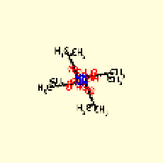 CCCC(CCC)CCCCCCC(=O)OCC(O)CN1CCCN(CC(O)COC(=O)CCCCCCC(CCC)CCC)CCN(CC(O)COC(=O)CCCCCCC(CCC)CCC)CCCN(CC(O)COC(=O)CCCCCCC(CCC)CCC)CC1